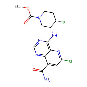 CC(C)(C)OC(=O)N1CC[C@H](F)[C@H](Nc2ncnc3c(C(N)=O)cc(Cl)nc23)C1